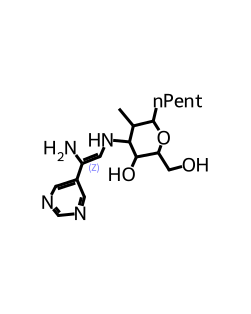 CCCCCC1OC(CO)C(O)C(N/C=C(\N)c2cncnc2)C1C